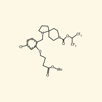 CC(C)(C)OC(=O)CCCOc1cc(Cl)ccc1CN1CCCC12CCN(C(=O)OC(C(F)(F)F)C(F)(F)F)CC2